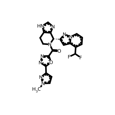 Cn1ccc(-c2nnc(C(=O)N3CCc4[nH]cnc4[C@@H]3c3cc4c(C(F)F)cccn4n3)o2)n1